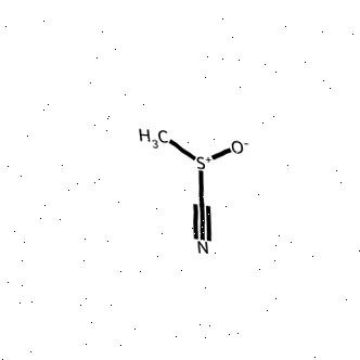 C[S+]([O-])C#N